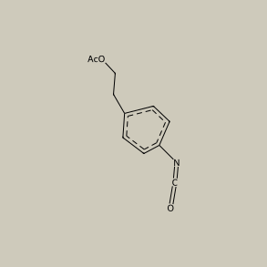 CC(=O)OCCc1ccc(N=C=O)cc1